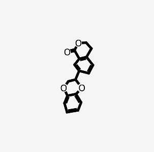 O=C1OCCc2ccc(C3COc4ccccc4O3)cc21